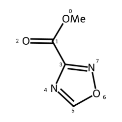 COC(=O)c1ncon1